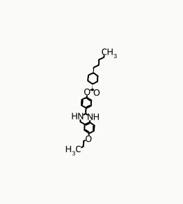 CCCCC[C@H]1CC[C@H](C(=O)Oc2ccc(C3NCc4cc(OCCC)ccc4N3)cc2)CC1